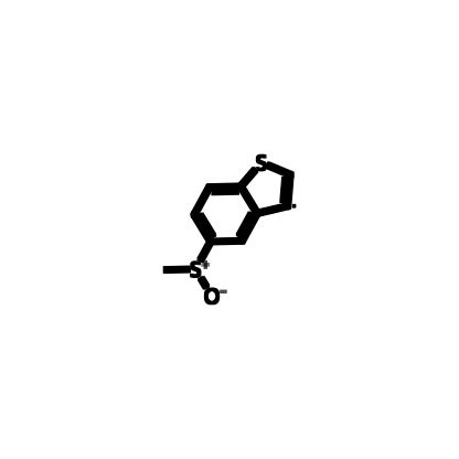 C[S+]([O-])c1ccc2sc[c]c2c1